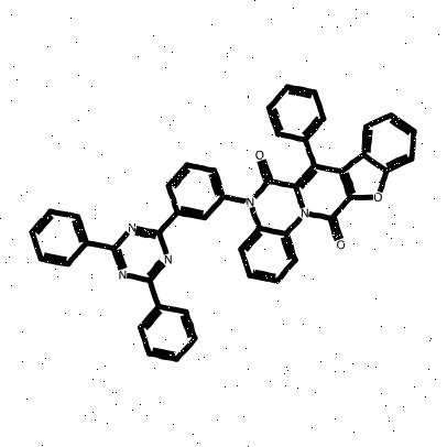 O=c1c2c(-c3ccccc3)c3c(oc4ccccc43)c(=O)n2c2ccccc2n1-c1cccc(-c2nc(-c3ccccc3)nc(-c3ccccc3)n2)c1